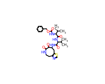 CC(C)C(NC(=O)OCc1ccccc1)C(=O)NC(C(=O)NC1Cc2scnc2CCNC(=O)C1=O)C(C)C